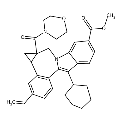 C=Cc1ccc2c(c1)C1CC1(C(=O)N1CCOCC1)Cn1c-2c(C2CCCCC2)c2ccc(C(=O)OC)cc21